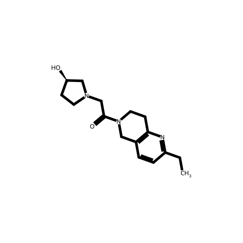 CCc1ccc2c(n1)CCN(C(=O)CN1CC[C@@H](O)C1)C2